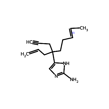 C#CCC(CC=C)(CC/C=C/C)c1cnc(N)[nH]1